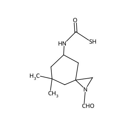 CC1(C)CC(NC(=O)S)CC2(CN2C=O)C1